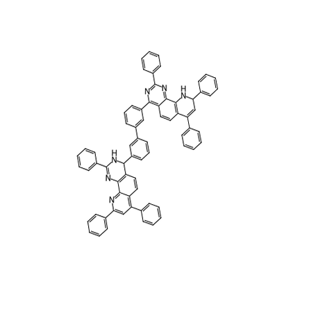 C1=C(c2ccccc2)c2ccc3c(-c4cccc(-c5cccc(C6NC(c7ccccc7)=Nc7c6ccc6c(-c8ccccc8)cc(-c8ccccc8)nc76)c5)c4)nc(-c4ccccc4)nc3c2NC1c1ccccc1